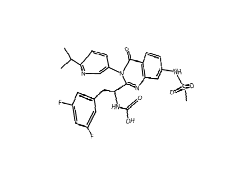 CC(C)c1ccc(-n2c([C@H](Cc3cc(F)cc(F)c3)NC(=O)O)nc3cc(NS(C)(=O)=O)ccc3c2=O)cn1